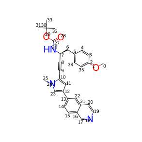 COc1ccc(C[C@@H](C#Cc2cc(-c3ccc4cnccc4c3)cn2C)NC(=O)OC(C)(C)C)cc1